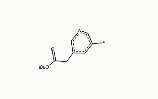 CC(C)COC(=O)Cc1cncc(F)c1